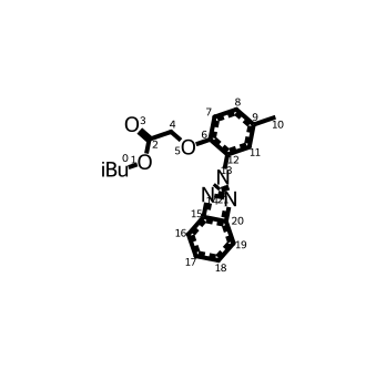 CCC(C)OC(=O)COc1ccc(C)cc1-n1n2c3ccccc3n12